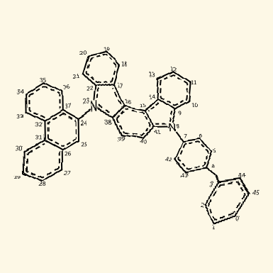 c1ccc(-c2ccc(-n3c4ccccc4c4c5c6ccccc6n(-c6cc7ccccc7c7ccccc67)c5ccc43)cc2)cc1